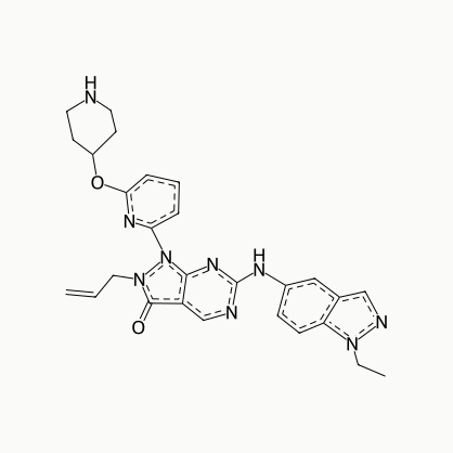 C=CCn1c(=O)c2cnc(Nc3ccc4c(cnn4CC)c3)nc2n1-c1cccc(OC2CCNCC2)n1